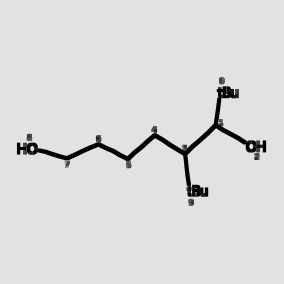 CC(C)(C)C(O)C(CCCCO)C(C)(C)C